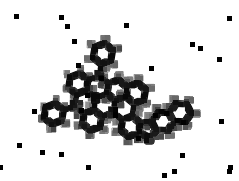 c1ccc(N2c3cccc4c3B3c5c2cccc5N2c5ccc6oc7cc8ccccc8cc7c6c5-c5cccc6cc(c3c2c56)N4c2ccccc2)cc1